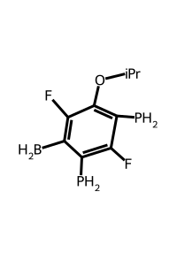 Bc1c(F)c(OC(C)C)c(P)c(F)c1P